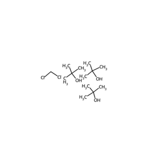 CC(C)(C)O.CC(C)(C)O.CC(C)(C)O.ClCCl